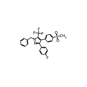 CS(=O)(=O)c1ccc(-c2c(-c3ccc(F)cc3)nn(Cc3ccccc3)c2C(F)(F)F)cc1